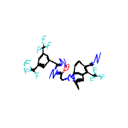 Cc1cc2c(C(F)(F)F)c(C#N)ccc2n1Cc1nc(-c2cc(C(F)(F)F)cc(C(F)(F)F)c2)no1